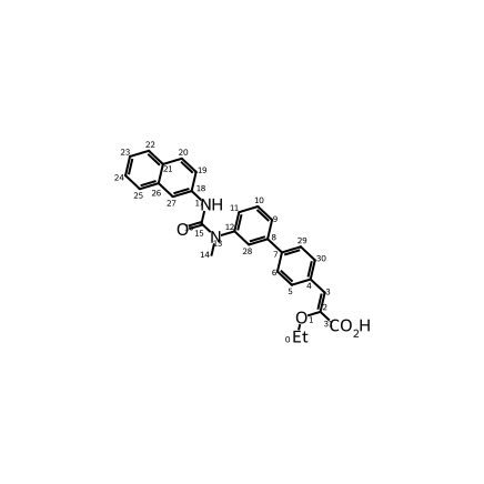 CCOC(=Cc1ccc(-c2cccc(N(C)C(=O)Nc3ccc4ccccc4c3)c2)cc1)C(=O)O